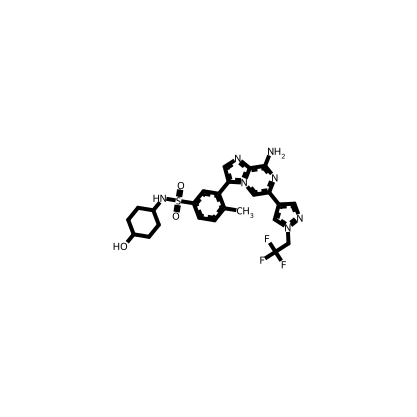 Cc1ccc(S(=O)(=O)NC2CCC(O)CC2)cc1-c1cnc2c(N)nc(-c3cnn(CC(F)(F)F)c3)cn12